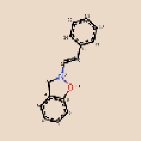 C(=CN1Cc2ccccc2O1)c1ccccc1